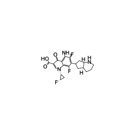 Nc1c(F)c(C2C[C@@H]3CCCN[C@@H]3C2)c(F)c2c1c(=O)c(C(=O)O)cn2[C@@H]1C[C@@H]1F